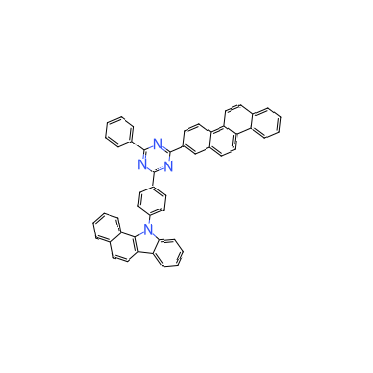 c1ccc(-c2nc(-c3ccc(-n4c5ccccc5c5ccc6ccccc6c54)cc3)nc(-c3ccc4c(ccc5c6ccccc6ccc45)c3)n2)cc1